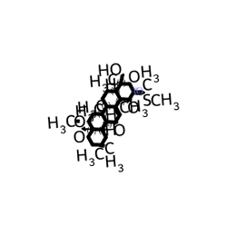 COC(=O)[C@]12CCC(C)(C)C[C@H]1[C@H]1C(=O)C=C3[C@@]4(C)C(=O)/C(=C(/C)SC)C(=O)[C@](C)(CO)[C@@H]4CC[C@@]3(C)[C@]1(C)CC2